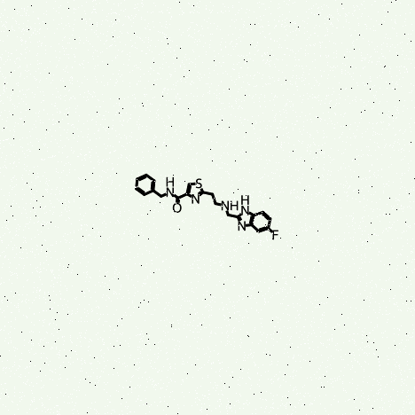 O=C(NCc1ccccc1)c1csc(CCNCc2nc3cc(F)ccc3[nH]2)n1